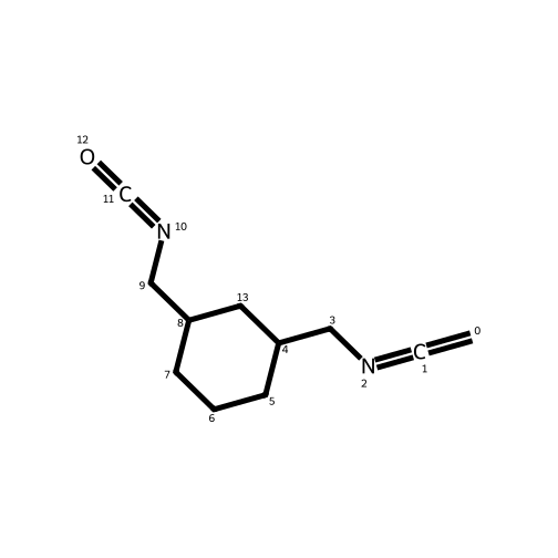 C=C=NCC1CCCC(CN=C=O)C1